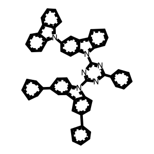 c1ccc(-c2ccc3c(c2)c2cc(-c4ccccc4)ccc2n3-c2nc(-c3ccccc3)nc(-n3c4ccccc4c4cc(-n5c6ccccc6c6ccccc65)ccc43)n2)cc1